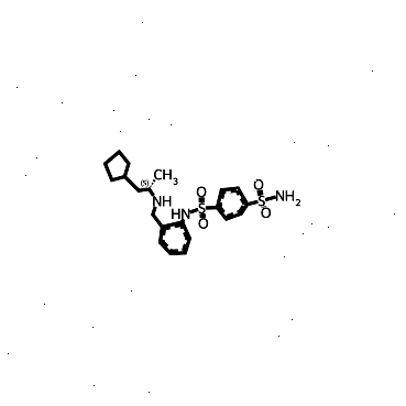 C[C@@H](CC1CCCC1)NCc1ccccc1NS(=O)(=O)c1ccc(S(N)(=O)=O)cc1